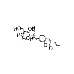 CC=Cc1cc2ccc(N[C@H](C=O)[C@H](O)[C@@H](O)[C@@H](O)CO)cc2oc1=O